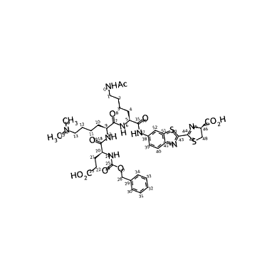 CC(=O)NCCCC[C@H](NC(=O)[C@H](CCCCN(C)C)NC(=O)[C@H](CCC(=O)O)NC(=O)OCc1ccccc1)C(=O)Nc1ccc2nc(C3=N[C@@H](C(=O)O)CS3)sc2c1